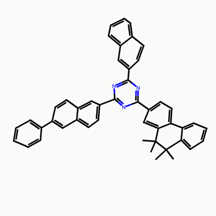 CC1(C)c2ccccc2-c2ccc(-c3nc(-c4ccc5ccccc5c4)nc(-c4ccc5cc(-c6ccccc6)ccc5c4)n3)cc2C1(C)C